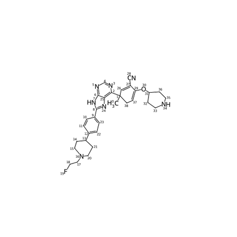 CC1(c2ncnc3[nH]c(-c4ccc(C5CCN(CCF)CC5)cc4)nc23)C=C(C#N)C(OC2CCNCC2)=CC1